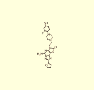 Nc1nc2c(sc(=O)n2CCN2CCN(c3ccc(S)cc3F)CC2)c2nc(-c3ccco3)nn12